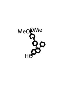 COC(OC)C1CCN(c2ccc([C@@H]3c4ccc(O)cc4CC[C@@H]3C3=CCCCC3)cc2)CC1